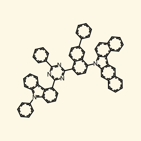 c1ccc(-c2ccc3c(-c4nc(-c5ccccc5)nc(-c5cccc6c5c5ccccc5n6-c5ccccc5)n4)ccc(-n4c5cc6ccccc6cc5c5c6ccccc6ccc54)c3c2)cc1